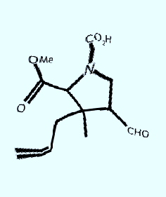 C=CCC1(C)C(C=O)CN(C(=O)O)C1C(=O)OC